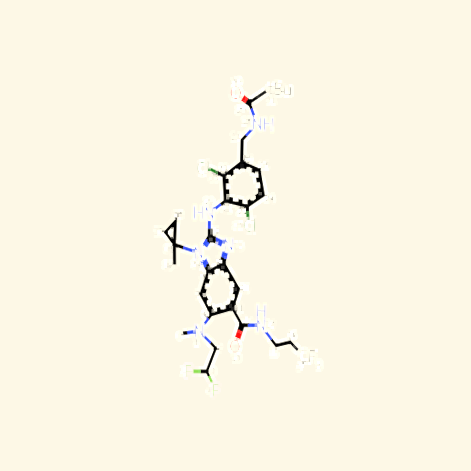 CN(CC(F)F)c1cc2c(cc1C(=O)NCCC(F)(F)F)nc(Nc1c(Cl)ccc(CNC(=O)C(C)(C)C)c1Cl)n2C1(C)CC1